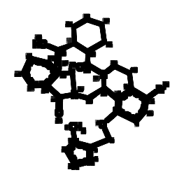 Cn1cnnc1COc1ccc(Br)c2c1[C@@H](CN1Cc3ccccc3C1=O)N(C(=O)[C@@H]1CCCC[C@@H]1C(=O)O)CC2